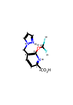 O=C(O)c1ccc(Cn2cccn2)c(OC(F)F)n1